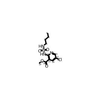 CCCCNS(=O)(=O)Nc1ncc(Cl)cc1C(=O)OC